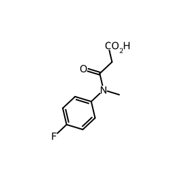 CN(C(=O)CC(=O)O)c1ccc(F)cc1